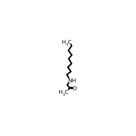 CCCCCCCCCNCC(C)=O